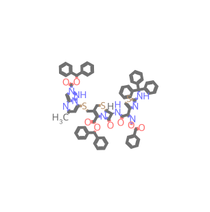 CC1=NC2=CN(C(=O)OC(c3ccccc3)c3ccccc3)NN2C(SCC2=C(C(=O)OC(c3ccccc3)c3ccccc3)N3C(=O)[C@@H](NC(=O)/C(=N\OC(=O)c4ccccc4)c4csc(NC(c5ccccc5)(c5ccccc5)c5ccccc5)n4)[C@H]3SC2)=C1